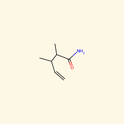 C=CC(C)C(C)C(N)=O